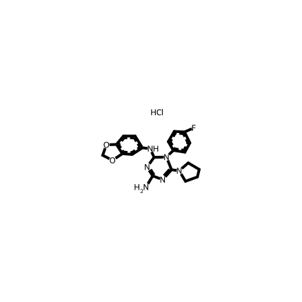 Cl.NC1=NC(Nc2ccc3c(c2)OCO3)N(c2ccc(F)cc2)C(N2CCCC2)=N1